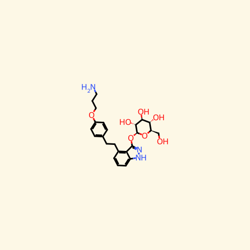 NCCCOc1ccc(CCc2cccc3[nH]nc(O[C@@H]4O[C@H](CO)[C@@H](O)[C@H](O)[C@H]4O)c23)cc1